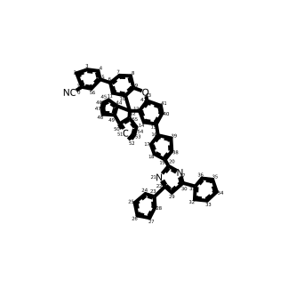 N#Cc1cccc(-c2ccc3c(c2)C2(c4cc(-c5ccc(-c6nc(-c7ccccc7)cc(-c7ccccc7)n6)cc5)ccc4O3)c3ccccc3-c3ccccc32)c1